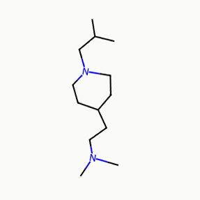 CC(C)CN1CCC(CCN(C)C)CC1